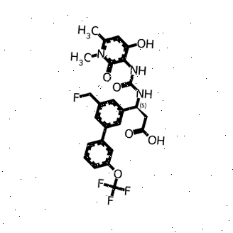 Cc1cc(O)c(NC(=O)N[C@@H](CC(=O)O)c2cc(CF)cc(-c3cccc(OC(F)(F)F)c3)c2)c(=O)n1C